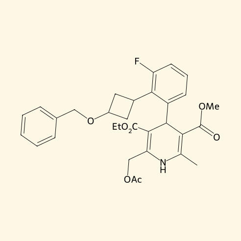 CCOC(=O)C1=C(COC(C)=O)NC(C)=C(C(=O)OC)C1c1cccc(F)c1C1CC(OCc2ccccc2)C1